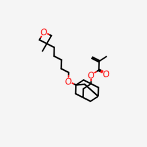 C=C(C)C(=O)OC12CC3CC(CC(OCCCCCC4(C)COC4)(C3)C1)C2